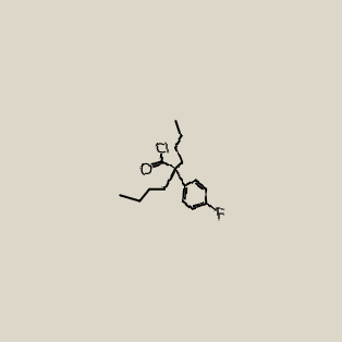 CCCCC(CCCC)(C(=O)Cl)c1ccc(F)cc1